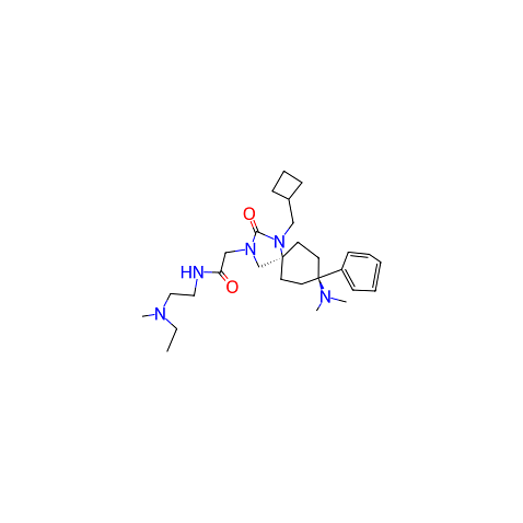 CCN(C)CCNC(=O)CN1C[C@]2(CC[C@](c3ccccc3)(N(C)C)CC2)N(CC2CCC2)C1=O